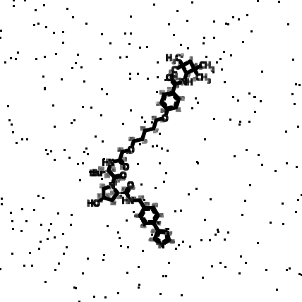 CC1(C)CC(C)(C)C1NC(=O)c1ccc(OCCCCCOCC(=O)N[C@H](C(=O)N2C[C@H](O)C[C@H]2C(=O)NCc2ccc(-c3cncs3)cc2)C(C)(C)C)cc1